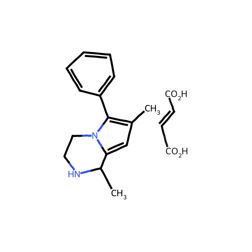 Cc1cc2n(c1-c1ccccc1)CCNC2C.O=C(O)/C=C/C(=O)O